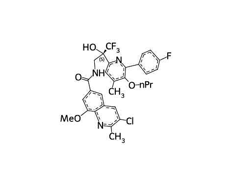 CCCOc1c(C)cc([C@@](O)(CNC(=O)c2cc(OC)c3nc(C)c(Cl)cc3c2)C(F)(F)F)nc1-c1ccc(F)cc1